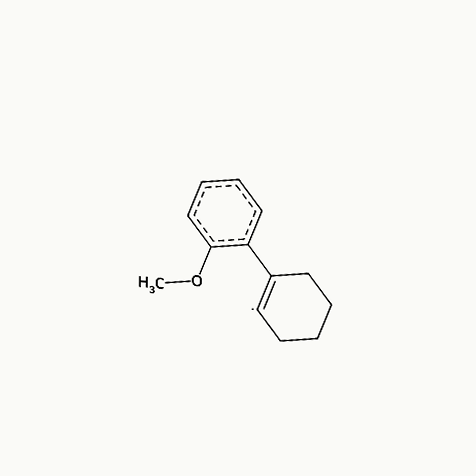 COc1ccccc1C1=[C]CCCC1